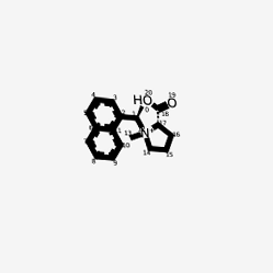 C[C@H](c1cccc2ccccc12)[N+]1(C)CCC[C@H]1C(=O)O